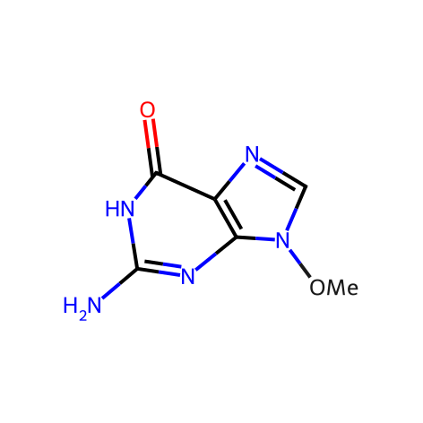 COn1cnc2c(=O)[nH]c(N)nc21